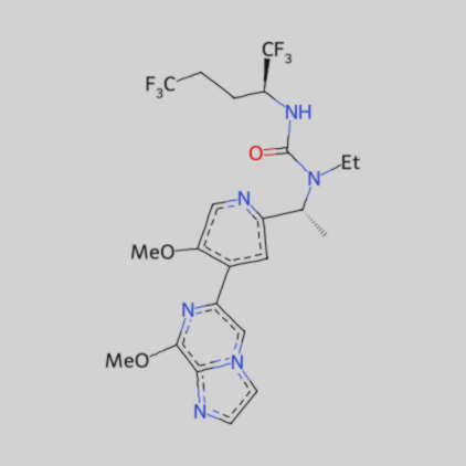 CCN(C(=O)N[C@@H](CCC(F)(F)F)C(F)(F)F)[C@H](C)c1cc(-c2cn3ccnc3c(OC)n2)c(OC)cn1